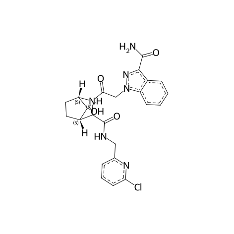 NC(=O)c1nn(CC(=O)N2C(C(=O)NCc3cccc(Cl)n3)[C@@H]3CC[C@H]2[C@H]3O)c2ccccc12